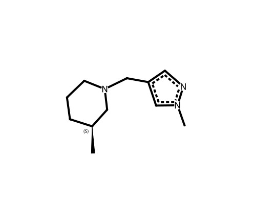 C[C@H]1CCCN(Cc2cnn(C)c2)C1